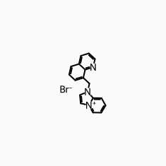 [Br-].c1cnc2c(Cn3cc[n+]4ccccc34)cccc2c1